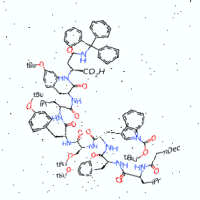 CCCCCCCCCCCC(=O)N[C@@H](CC(C)C)C(=O)N[C@@H](Cc1ccc(OC(C)(C)C)cc1)C(=O)N[C@@H](Cc1cn(C(=O)OC(C)(C)C)c2ccccc12)C(=O)N[C@@H](COC(C)(C)C)C(=O)N[C@@H](Cc1ccc(OC(C)(C)C)cc1)C(=O)N[C@@H](CC(C)C)C(=O)N[C@@H](Cc1ccc(OC(C)(C)C)cc1)C(=O)N[C@@H](CC(=O)NC(c1ccccc1)(c1ccccc1)c1ccccc1)C(=O)O